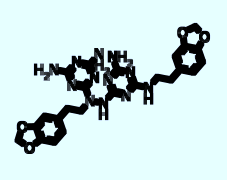 Nc1nc(NCCc2ccc3c(c2)OCO3)nc(NN(CCc2ccc3c(c2)OCO3)c2nc(N)nc(N)n2)n1